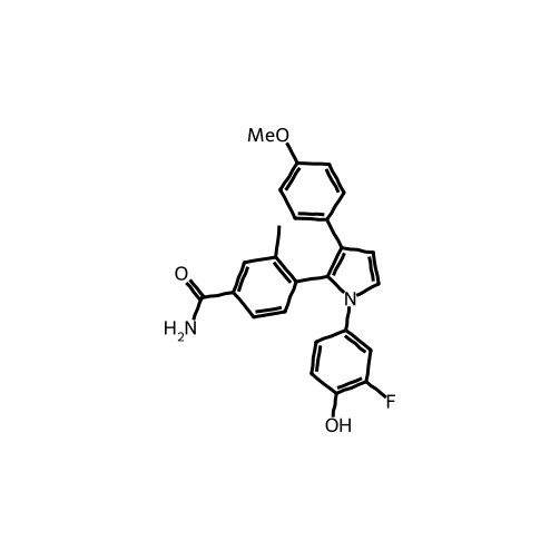 COc1ccc(-c2ccn(-c3ccc(O)c(F)c3)c2-c2ccc(C(N)=O)cc2C)cc1